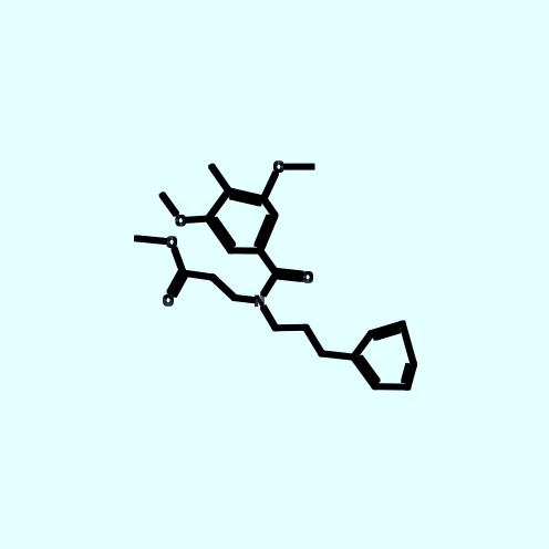 COC(=O)CCN(CCCc1ccccc1)C(=O)c1cc(OC)c(C)c(OC)c1